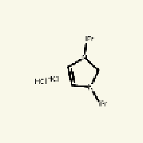 CC(C)N1C=CN(C(C)C)C1.Cl.Cl